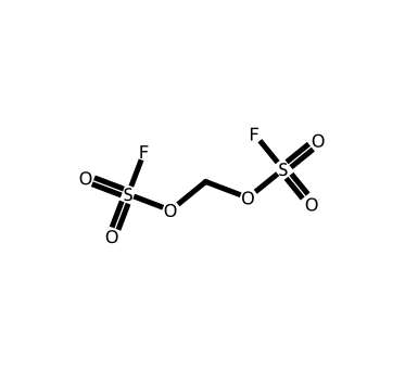 O=S(=O)(F)OCOS(=O)(=O)F